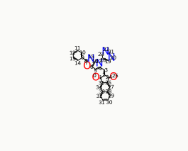 O=C1C(=Cc2cc3oc(-c4ccccc4)nc3n2-c2cncnc2)C(=O)c2cc3ccccc3cc21